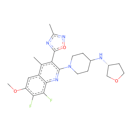 COc1cc2c(C)c(-c3nc(C)no3)c(N3CCC(N[C@@H]4CCOC4)CC3)nc2c(F)c1F